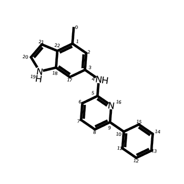 Cc1cc(Nc2cccc(-c3ccccc3)n2)cc2[nH]ccc12